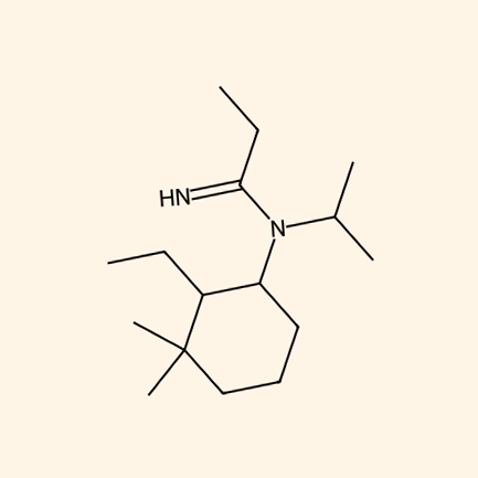 CCC(=N)N(C(C)C)C1CCCC(C)(C)C1CC